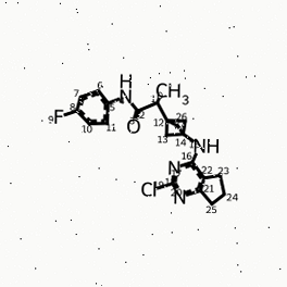 CC(C(=O)Nc1ccc(F)cc1)C12CC(Nc3nc(Cl)nc4c3CCC4)(C1)C2